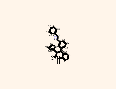 O=c1[nH]c2ccccc2c(-c2cccc(/C=C/c3ccccc3)c2)c1-c1cccs1